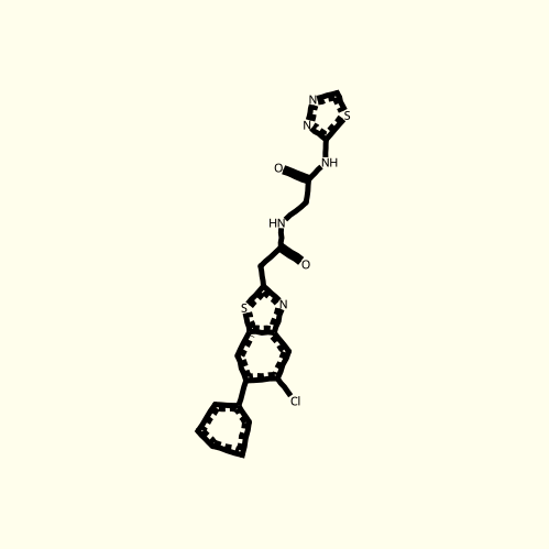 O=C(Cc1nc2cc(Cl)c(-c3ccccc3)cc2s1)NCC(=O)Nc1nncs1